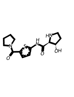 O=C(Nc1ccc(C(=O)N2CCCC2)s1)[C@H]1NCC[C@@H]1O